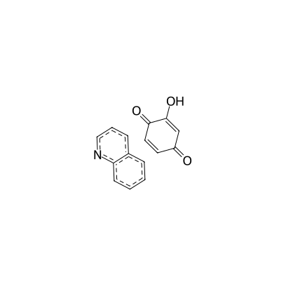 O=C1C=CC(=O)C(O)=C1.c1ccc2ncccc2c1